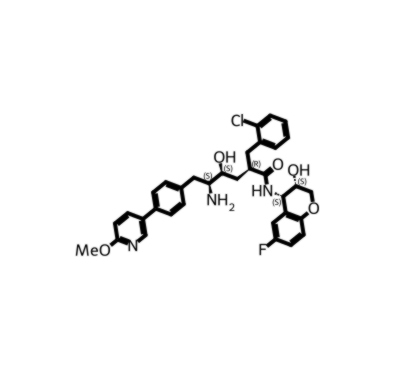 COc1ccc(-c2ccc(C[C@H](N)[C@@H](O)C[C@@H](Cc3ccccc3Cl)C(=O)N[C@H]3c4cc(F)ccc4OC[C@H]3O)cc2)cn1